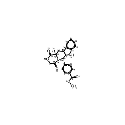 COC(=O)c1ccc([C@H]2C3Nc4ccccc4C3C[C@@H]3C(=O)OCC(=O)N32)cc1